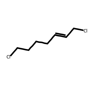 ClCC=CCCCCCl